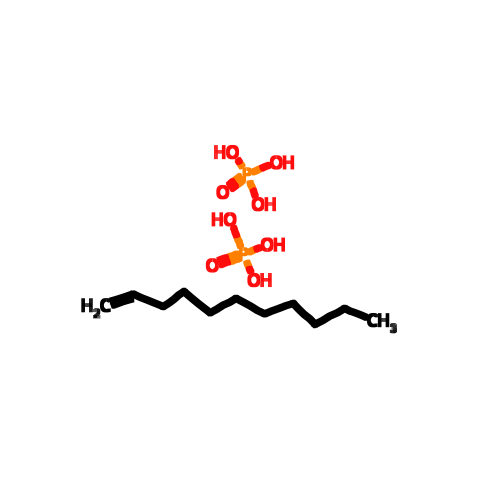 C=CCCCCCCCCC.O=P(O)(O)O.O=P(O)(O)O